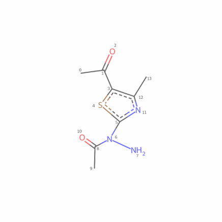 CC(=O)c1sc(N(N)C(C)=O)nc1C